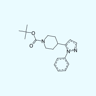 CC(C)(C)OC(=O)N1CCC(c2ccnn2-c2ccccc2)CC1